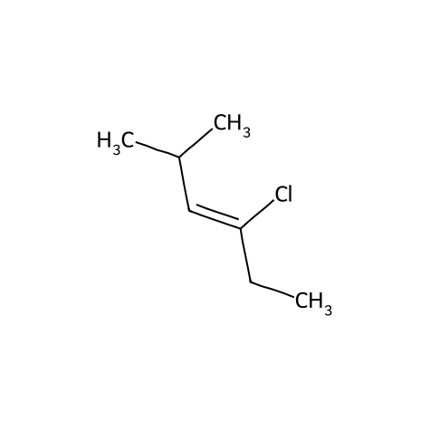 CC/C(Cl)=C/C(C)C